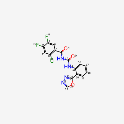 O=C(NC(=O)c1cc(F)c(F)cc1Cl)Nc1ccccc1-c1nnco1